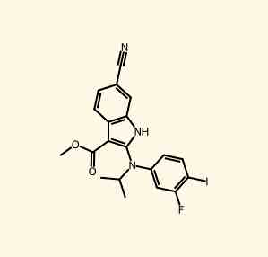 COC(=O)c1c(N(c2ccc(I)c(F)c2)C(C)C)[nH]c2cc(C#N)ccc12